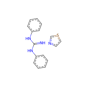 N=C(Nc1ccccc1)Nc1ccccc1.c1cscn1